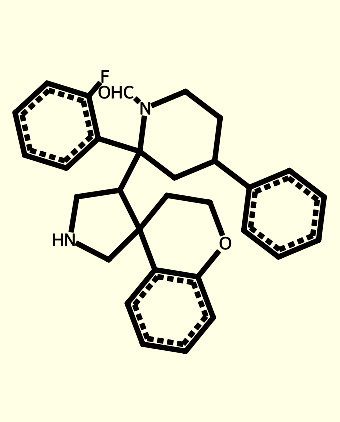 O=CN1CCC(c2ccccc2)CC1(c1ccccc1F)C1CNCC12CCOc1ccccc12